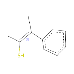 C/C(S)=C(\C)c1ccccc1